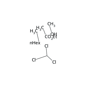 CCCCCCC.CCOC(C)=O.CO.ClC(Cl)Cl